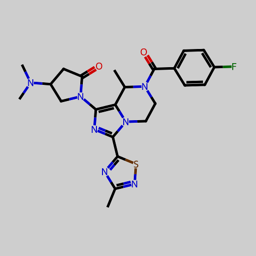 Cc1nsc(-c2nc(N3CC(N(C)C)CC3=O)c3n2CCN(C(=O)c2ccc(F)cc2)C3C)n1